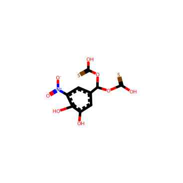 O=[N+]([O-])c1cc(C(OC(O)=S)OC(O)=S)cc(O)c1O